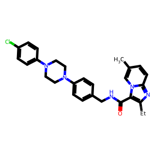 CCc1nc2ccc(C)cn2c1C(=O)NCc1ccc(N2CCN(c3ccc(Cl)cc3)CC2)cc1